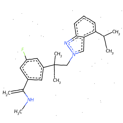 C=C(NC)c1cc(F)cc(C(C)(C)Cn2cc3c(C(C)C)cccc3n2)c1